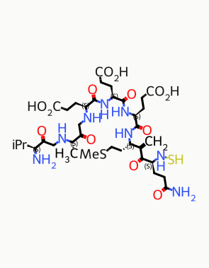 C=C(C(=O)[C@H](CCC(N)=O)NS)[C@H](CCSC)NC(=O)[C@H](CCC(=O)O)NC(=O)[C@H](CCC(=O)O)NC(=O)[C@H](CCC(=O)O)NCC(=O)[C@H](C)NCC(=O)[C@@H](N)C(C)C